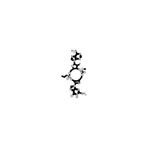 CCC[P@@]1(=O)OCC2OC(n3cnc4c(N)ncnc43)C(F)C2OP(=O)(OC)OCC2OC(n3cnc4c(=O)[nH]c(N)nc43)C(O1)C2O